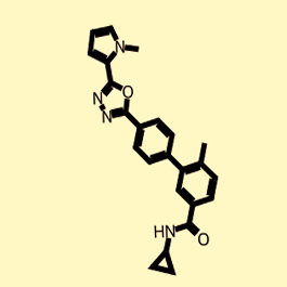 Cc1ccc(C(=O)NC2CC2)cc1-c1ccc(-c2nnc(-c3cccn3C)o2)cc1